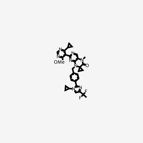 COc1ncnc(C2CC2)c1-c1ncc2c(n1)N(Cc1ccc(-c3nc(C(C)(F)F)cn3C3CC3)cc1)C1(CC1)C(=O)N2C